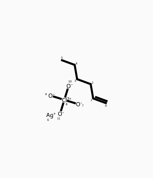 C=CCCCC.[Ag+].[O-][Cl+3]([O-])([O-])[O-]